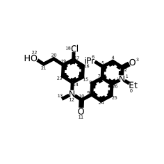 CCn1c(=O)cc(C(C)C)c2cc(C(=O)N(C)c3ccc(Cl)c(CCO)c3)ccc21